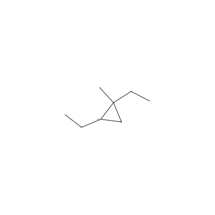 CC[C]1CC1(C)CC